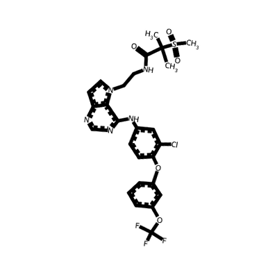 CC(C)(C(=O)NCCn1ccc2ncnc(Nc3ccc(Oc4cccc(OC(F)(F)F)c4)c(Cl)c3)c21)S(C)(=O)=O